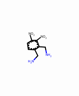 NCc1ccc([N+](=O)[O-])c([N+](=O)[O-])c1CN